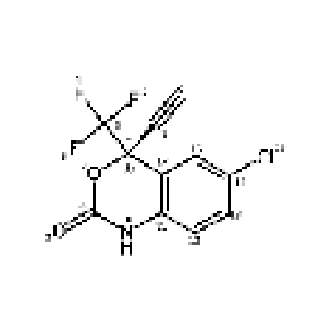 C#C[C@]1(C(F)(F)F)OC(=O)Nc2ccc(Cl)cc21